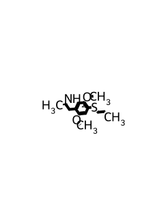 CCCSc1cc(OC)c(C[C@@H](C)N)cc1OC